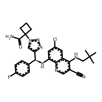 CC(C)(C)CNc1c(C#N)cnc2c(N[C@@H](c3ccc(F)cc3)c3cn(C4(C(N)=O)CCC4)nn3)cc(Cl)cc12